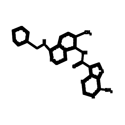 Cc1ccc2c(NCc3ccccc3)nccc2c1NC(=O)c1csc2c(N)ncnc12